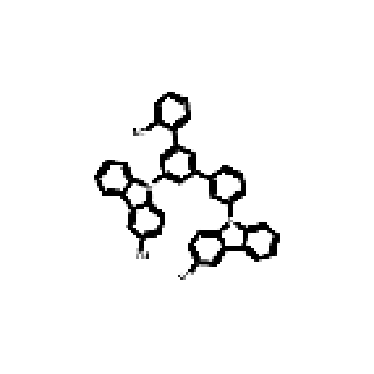 N#Cc1ccc2c(c1)c1ccccc1n2-c1cccc(-c2cc(-c3ccccc3C#N)cc(-n3c4ccccc4c4cc(C#N)ccc43)c2)c1